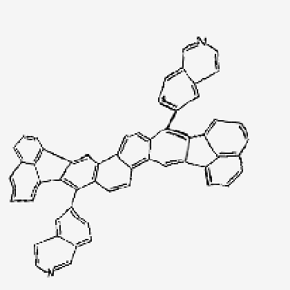 c1cc2c3c(cccc3c1)-c1c-2cc2c(ccc3c4cc5c(c(-c6ccc7cnccc7c6)c4ccc23)-c2cccc3cccc-5c23)c1-c1ccc2cnccc2c1